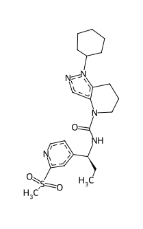 CC[C@H](NC(=O)N1CCCc2c1cnn2C1CCCCC1)c1ccnc(S(C)(=O)=O)c1